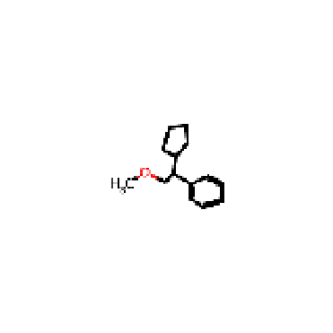 COCC(c1ccccc1)C1CCCC1